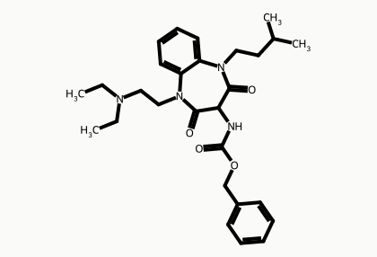 CCN(CC)CCN1C(=O)C(NC(=O)OCc2ccccc2)C(=O)N(CCC(C)C)c2ccccc21